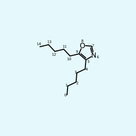 CCCCCc1ncoc1CCCCC